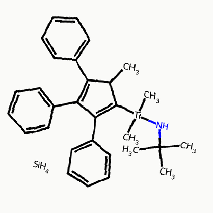 CC1C(c2ccccc2)=C(c2ccccc2)C(c2ccccc2)=[C]1[Ti]([CH3])([CH3])[NH]C(C)(C)C.[SiH4]